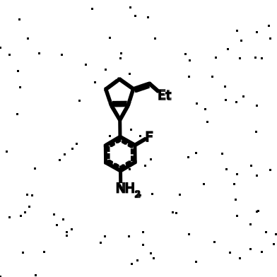 CC/C=C1/CCC2=C1C2c1ccc(N)cc1F